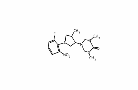 CC1CN(c2c(F)cccc2[N+](=O)[O-])CC1N1CN(C)C(=O)N(C)C1